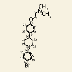 CN(C)CCOc1ccc(C2CCN(c3ccc(Br)cn3)CC2)cc1